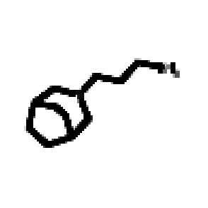 NCCCN1CC2CCC(CC2)C1